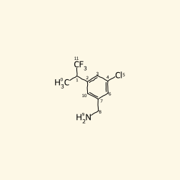 CC(c1cc(Cl)cc(CN)c1)C(F)(F)F